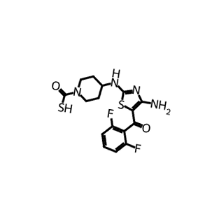 Nc1nc(NC2CCN(C(=O)S)CC2)sc1C(=O)c1c(F)cccc1F